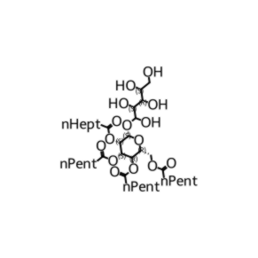 CCCCCCCC(=O)O[C@@H]1[C@H](OC(O)[C@@H](O)[C@H](O)[C@@H](O)CO)O[C@H](COC(=O)CCCCC)[C@@H](OC(=O)CCCCC)[C@@H]1OC(=O)CCCCC